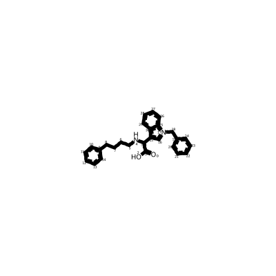 O=C(O)C(NCCCCc1ccccc1)c1cn(Cc2ccccc2)c2ccccc12